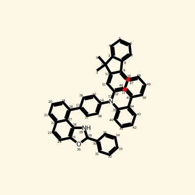 CC1(C)c2ccccc2-c2ccc(N(c3ccc(-c4cccc5ccc6c(c45)NC(c4ccccc4)O6)cc3)c3ccccc3-c3ccccc3)cc21